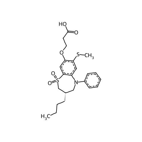 CCCC[C@H]1CN(c2ccccc2)c2cc(SC)c(OCCC(=O)O)cc2S(=O)(=O)C1